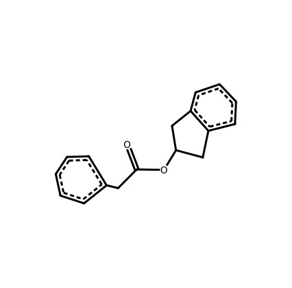 O=C(Cc1ccccc1)OC1Cc2ccccc2C1